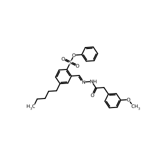 CCCCCc1ccc(S(=O)(=O)Oc2ccccc2)c(C=NNC(=O)Cc2cccc(OC)c2)c1